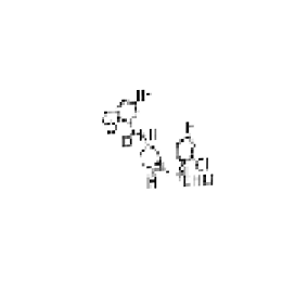 O=CN(CC1[C@H]2CC[C@@H](NC(=O)c3cc(Br)cc4c3OCC4)C[C@@H]12)c1ccc(F)cc1Cl